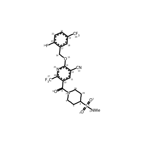 CNS(=O)(=O)C1CCN(C(=O)c2cc(C#N)c(OCc3cc(C(F)(F)F)ccc3F)nc2C(F)(F)F)CC1